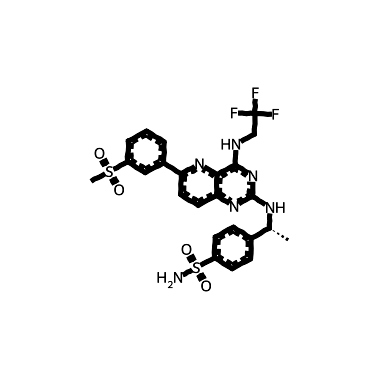 C[C@@H](Nc1nc(NCC(F)(F)F)c2nc(-c3cccc(S(C)(=O)=O)c3)ccc2n1)c1ccc(S(N)(=O)=O)cc1